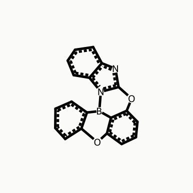 c1ccc2c(c1)Oc1cccc3c1B2n1c(nc2ccccc21)O3